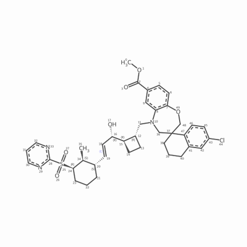 COC(=O)c1ccc2c(c1)N(C[C@@H]1CC[C@H]1[C@@H](O)/C=C/[C@@H]1CCC[C@@H](S(=O)(=O)c3ncccn3)[C@H]1C)CC1(CCCc3cc(Cl)ccc31)CO2